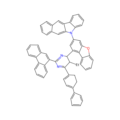 CCC1C(C2=CC=C(c3ccccc3)CC2)=NC(c2cc3ccccc3c3ccccc23)=NC1c1cc(-n2c3ccccc3c3cc4ccccc4cc32)cc2oc3ccccc3c12